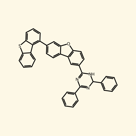 c1ccc(C2=NC(c3ccccc3)NC(c3ccc4oc5cc(-c6cccc7sc8ccccc8c67)ccc5c4c3)=N2)cc1